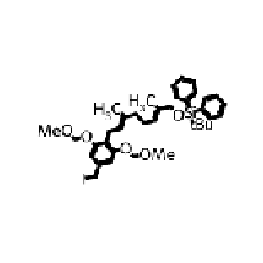 COCOc1cc(CI)cc(OCOC)c1C/C=C(\C)CC/C=C(\C)CO[Si](c1ccccc1)(c1ccccc1)C(C)(C)C